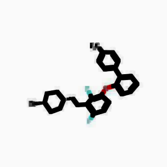 CC[C@H]1CC[C@H](CCc2c(F)c[c]c(Oc3ccccc3-c3ccc(C(F)(F)F)cc3)c2F)CC1